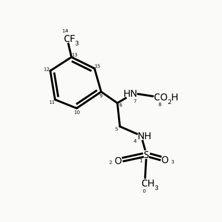 CS(=O)(=O)NCC(NC(=O)O)c1cccc(C(F)(F)F)c1